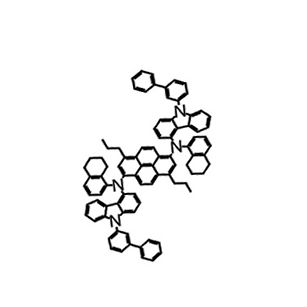 CCCc1cc(N(c2cccc3c2CCCC3)c2cccc3c2c2ccccc2n3-c2cccc(-c3ccccc3)c2)c2ccc3c(CCC)cc(N(c4cccc5c4CCCC5)c4cccc5c4c4ccccc4n5-c4cccc(-c5ccccc5)c4)c4ccc1c2c34